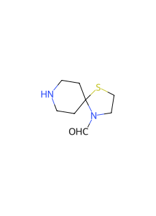 O=CN1CCSC12CCNCC2